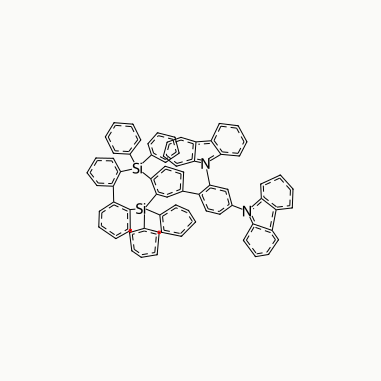 c1ccc([Si]2(c3ccccc3)c3ccccc3-c3ccccc3[Si](c3ccccc3)(c3ccccc3)c3cc(-c4ccc(-n5c6ccccc6c6ccccc65)cc4-n4c5ccccc5c5ccccc54)ccc32)cc1